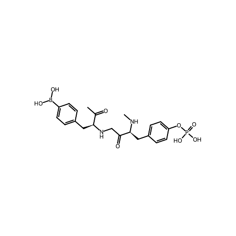 CN[C@@H](Cc1ccc(OP(=O)(O)O)cc1)C(=O)CN[C@@H](Cc1ccc(B(O)O)cc1)C(C)=O